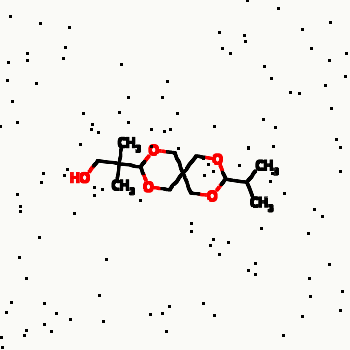 CC(C)C1OCC2(CO1)COC(C(C)(C)CO)OC2